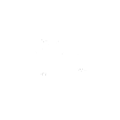 COc1ccc2[nH]cc(C(C(N)=O)C(=O)OCC3CC3)c2c1C